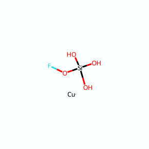 O[Si](O)(O)OF.[Cu]